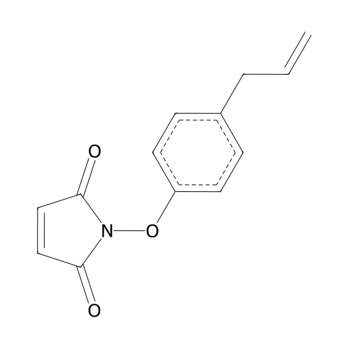 C=CCc1ccc(ON2C(=O)C=CC2=O)cc1